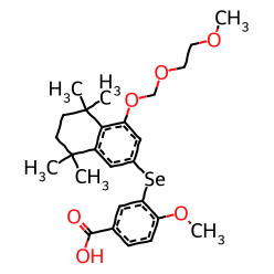 COCCOCOc1cc([Se]c2cc(C(=O)O)ccc2OC)cc2c1C(C)(C)CCC2(C)C